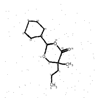 CCCC1(C)COC(C2CCCCC2)OC1=O